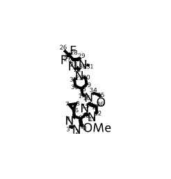 COc1ncnc(C2CC2)c1-c1ncc2c(n1)N(CC1CCN(c3nc(C(C)(F)F)cn3C)CC1)CCO2